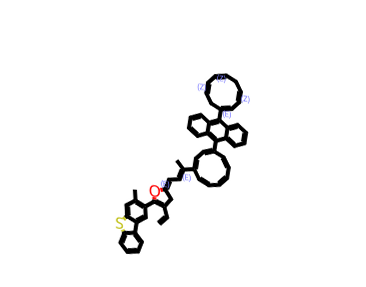 C=CC1=C(c2cc3c(cc2C)sc2ccccc23)O/C(=C/C=C(\C)c2ccccccc(-c3c4ccccc4c(/C4=C/C=C\C/C=C\C=C/C4)c4ccccc34)cc2)C1